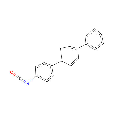 O=C=Nc1ccc(C2C=CC(c3ccccc3)=CC2)cc1